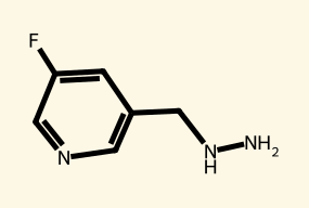 NNCc1cncc(F)c1